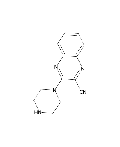 N#Cc1nc2ccccc2nc1N1CCNCC1